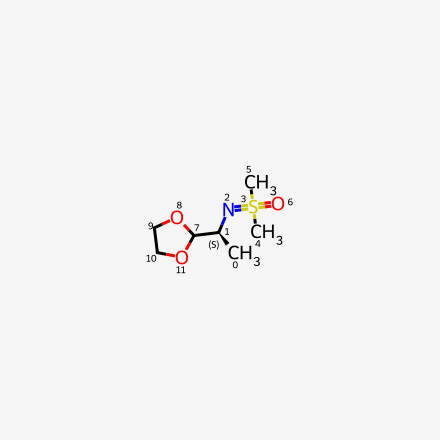 C[C@H](N=S(C)(C)=O)C1OCCO1